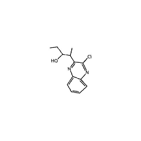 CCC(O)C(C)c1nc2ccccc2nc1Cl